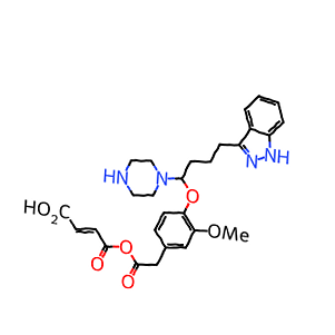 COc1cc(CC(=O)OC(=O)/C=C/C(=O)O)ccc1OC(CCCc1n[nH]c2ccccc12)N1CCNCC1